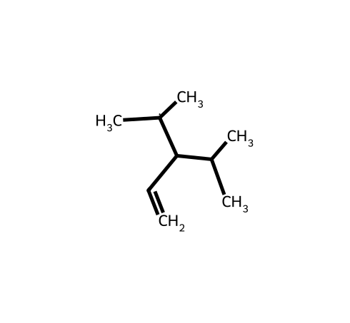 C=CC([C](C)C)C(C)C